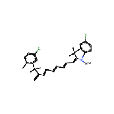 C=C(/C=C/C=C/C=C/C=C1/N(CCCC)c2ccc(Cl)cc2C1(C)C)C(C)(C)c1cc(Cl)ccc1C